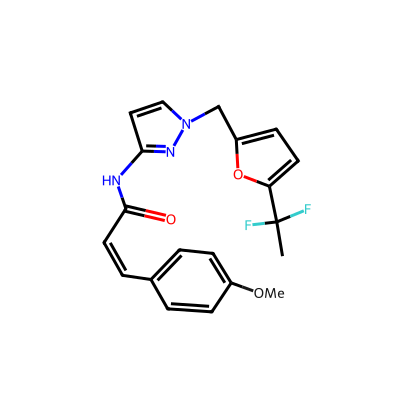 COc1ccc(/C=C\C(=O)Nc2ccn(Cc3ccc(C(C)(F)F)o3)n2)cc1